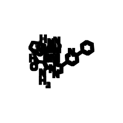 CC(=O)c1c([C@@]2(O)C[C@H]3CC[C@@H](C2)N3C(=O)c2nnc[nH]2)nc2c(-c3ccc(-c4ccccc4)nc3)cnn2c1N